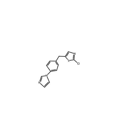 Clc1ncc(Cc2ccc(-n3ccnc3)cc2)s1